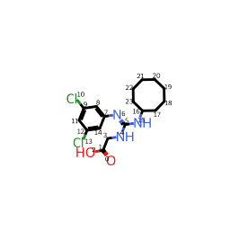 O=C(O)CNC(=Nc1cc(Cl)cc(Cl)c1)NC1CCCCCCC1